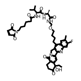 CC[C@@]1(O)C(=O)CCc2c1cc1n(c2=O)Cc2c-1nc1cc(F)c(C)cc1c2CCCCOCNC(=O)[C@H](C)NC(=O)[C@@H](NC(=O)CCCCCN1C(=O)C=CC1=O)C(C)C